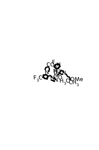 COC(C)(C)CCCN1C[C@@H](c2ccc(F)cc2F)[C@](F)(C(=O)Nc2nccn2Cc2ccc(C(F)(F)F)cc2N2CCC(C(=O)O)CC2)C1